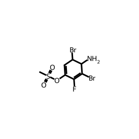 CS(=O)(=O)OC1=CC(Br)C(N)C(Br)=C1F